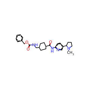 CN1CCCC1c1ccc(NC(=O)C2CCC(CNC(=O)OCc3ccccc3)CC2)nc1